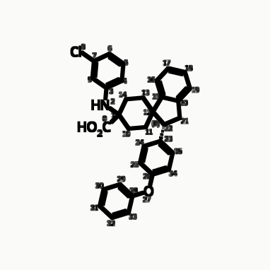 O=C(O)C1(Nc2cccc(Cl)c2)CCC2(CC1)c1ccccc1C[C@@H]2c1ccc(Oc2ccccc2)cc1